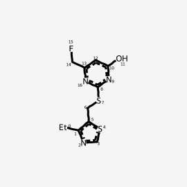 CCc1ncsc1CSc1nc(O)cc(CF)n1